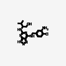 CC(C)C(CO)Nc1nc(NCc2ccc(Cl)c(N)c2)c2nn[nH]c2n1